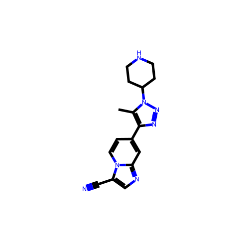 Cc1c(-c2ccn3c(C#N)cnc3c2)nnn1C1CCNCC1